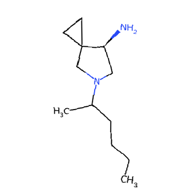 CCCCC(C)N1C[C@H](N)C2(CC2)C1